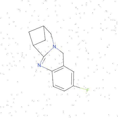 Fc1ccc2c(c1)CN1CC3CC(C3)C1=N2